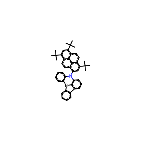 CC(C)(C)c1cc(N2c3ccccc3B3c4ccccc4-c4cccc2c43)c2ccc3c(C(C)(C)C)cc(C(C)(C)C)c4ccc1c2c34